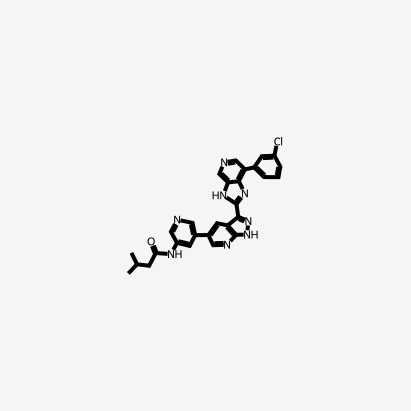 CC(C)CC(=O)Nc1cncc(-c2cnc3[nH]nc(-c4nc5c(-c6cccc(Cl)c6)cncc5[nH]4)c3c2)c1